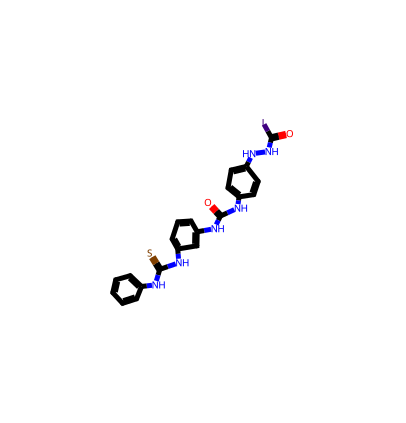 O=C(I)NNc1ccc(NC(=O)Nc2cccc(NC(=S)Nc3ccccc3)c2)cc1